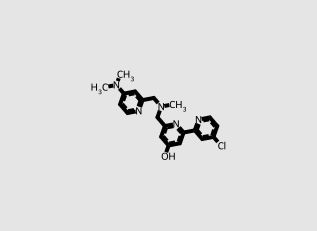 CN(Cc1cc(N(C)C)ccn1)Cc1cc(O)cc(-c2cc(Cl)ccn2)n1